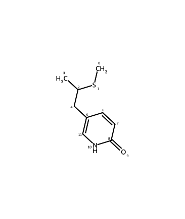 CSC(C)Cc1ccc(=O)[nH]c1